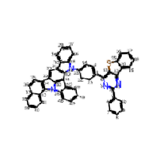 C1=C(c2nc(-c3ccccc3)nc3c2sc2ccccc23)CCC(n2c3ccccc3c3cc4c5ccc6ccccc6c5n5c6ccccc6c(c32)c45)=C1